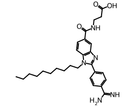 CCCCCCCCCCn1c(-c2ccc(C(=N)N)cc2)nc2cc(C(=O)NCCC(=O)O)ccc21